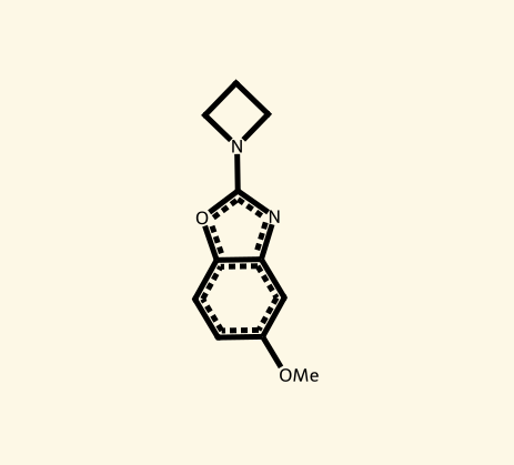 COc1ccc2oc(N3CCC3)nc2c1